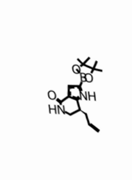 C=CC[C@H]1CNC(=O)c2cc(B3OC(C)(C)C(C)(C)O3)[nH]c21